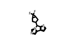 FC1(F)C2CC(C3c4sccc4-c4cncn43)CC21